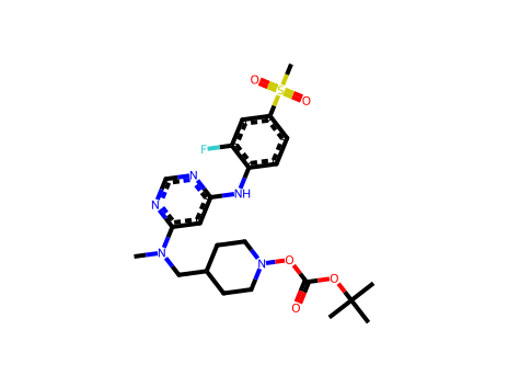 CN(CC1CCN(OC(=O)OC(C)(C)C)CC1)c1cc(Nc2ccc(S(C)(=O)=O)cc2F)ncn1